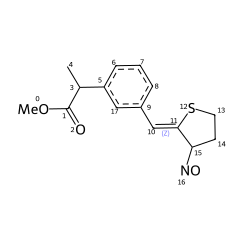 COC(=O)C(C)c1cccc(/C=C2\SCCC2N=O)c1